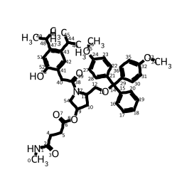 CNC(=O)CCC(=O)OC1CC(COC(c2ccccc2)(c2ccc(OC)cc2)c2ccc(OC)cc2)N(C(=O)Cc2cc(C(C)C)c(C(C)C)cc2O)C1